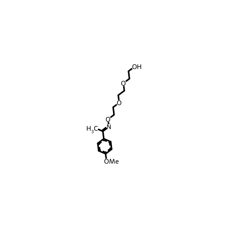 COc1ccc(/C(C)=N/OCCOCCOCCO)cc1